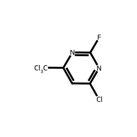 Fc1nc(Cl)cc(C(Cl)(Cl)Cl)n1